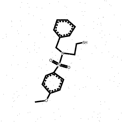 COc1ccc(S(=O)(=O)N(CCS)Cc2ccccc2)cc1